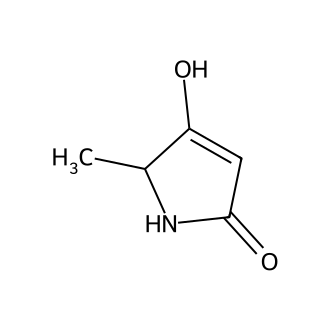 CC1NC(=O)C=C1O